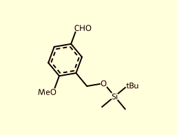 COc1ccc(C=O)cc1CO[Si](C)(C)C(C)(C)C